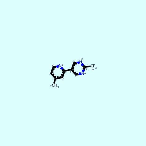 Cc1ccnc(-c2cnc(C(F)(F)F)nc2)c1